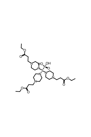 CCOC(=O)CCN1CCN(S(N2CCN(CCC(=O)OCC)CC2)(N2CCN(CCC(=O)OCC)CC2)P(=O)(O)O)CC1